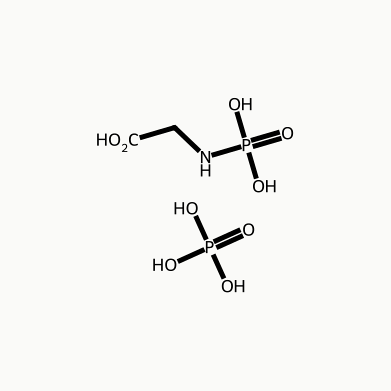 O=C(O)CNP(=O)(O)O.O=P(O)(O)O